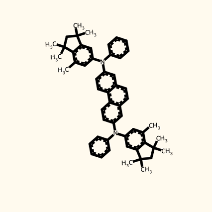 Cc1cc(N(c2ccccc2)c2ccc3c(ccc4cc(N(c5ccccc5)c5cc(C)c6c(c5)C(C)(C)CC6(C)C)ccc43)c2)cc2c1C(C)(C)CC2(C)C